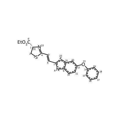 CCOC(=O)[C@H]1CSC(C=Cc2nc3ccc(Oc4ccccc4)cc3s2)=N1